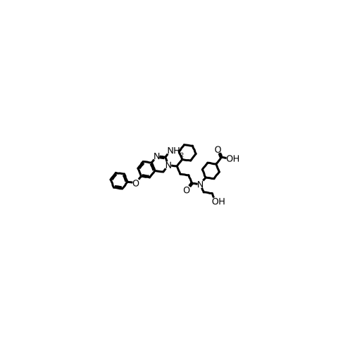 NC1=Nc2ccc(Oc3ccccc3)cc2CN1C(CCC(=O)N(CCO)C1CCC(C(=O)O)CC1)C1CCCCC1